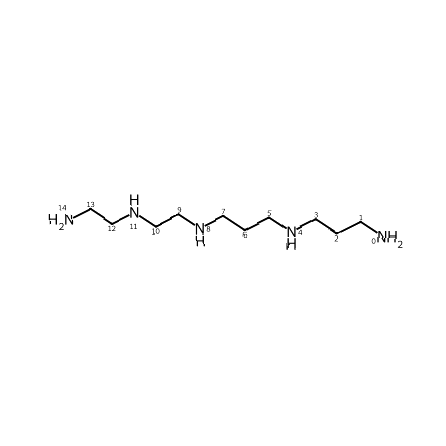 NCCCNCCCNCCNCCN